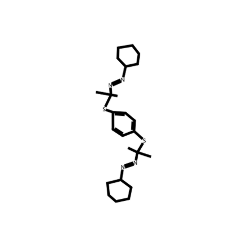 CC(C)(N=NC1CCCCC1)Sc1ccc(SC(C)(C)N=NC2CCCCC2)cc1